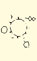 CCC[C@H]1C(=O)N[C@@H](C2CCCCCC2)C(=O)N[C@@H](CN)C(=O)N[C@@H](COC2CCNCC2)C(=O)N[C@H](C)CO[C@H](CC2CC3(CCC3)C2)[C@@H](C)C(=O)N1C